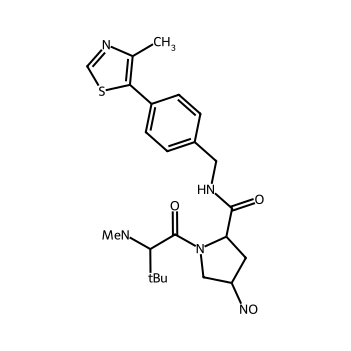 CNC(C(=O)N1CC(N=O)CC1C(=O)NCc1ccc(-c2scnc2C)cc1)C(C)(C)C